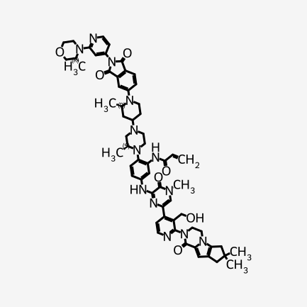 C=CC(=O)Nc1cc(Nc2nc(-c3ccnc(N4CCn5c(cc6c5CC(C)(C)C6)C4=O)c3CO)cn(C)c2=O)ccc1N1CCN(C2CCN(c3ccc4c(c3)C(=O)N(c3ccnc(N5CCOC[C@H]5C)c3)C4=O)[C@H](C)C2)C[C@@H]1C